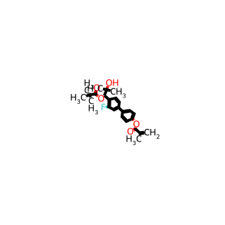 C=C(C)C(=O)Oc1ccc(-c2ccc(C(OC(=O)C(C)(C)C)C(C)(C)O)c(F)c2)cc1